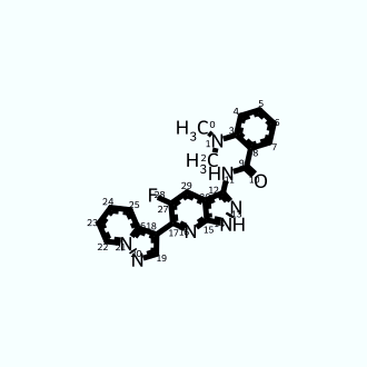 CN(C)c1ccccc1C(=O)Nc1n[nH]c2nc(-c3cnn4ccccc34)c(F)cc12